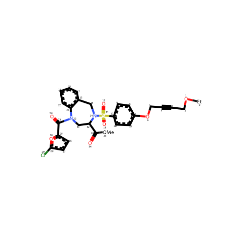 CCOCC#CCOc1ccc(S(=O)(=O)N2Cc3ccccc3N(C(=O)c3ccc(Cl)o3)CC2C(=O)OC)cc1